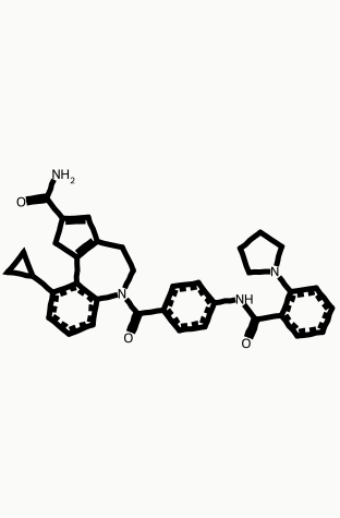 NC(=O)C1=CC2=C(C1)c1c(C3CC3)cccc1N(C(=O)c1ccc(NC(=O)c3ccccc3N3CCCC3)cc1)CC2